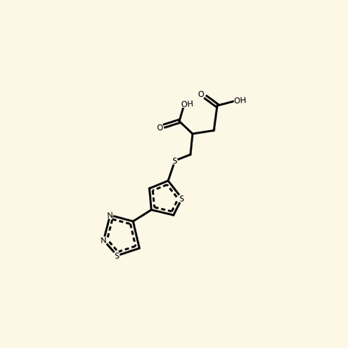 O=C(O)CC(CSc1cc(-c2csnn2)cs1)C(=O)O